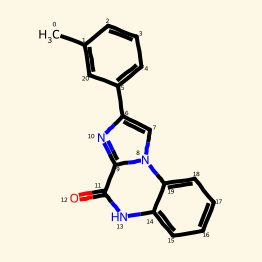 Cc1cccc(-c2cn3c(n2)c(=O)[nH]c2ccccc23)c1